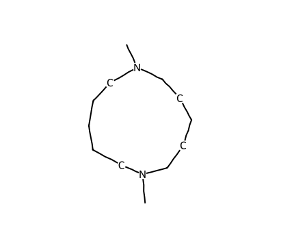 CN1CCCCCN(C)CCCCC1